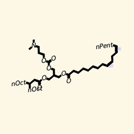 CCCCC/C=C\C/C=C\CCCCCCCC(=O)OCC(COC(=O)CC(CCCCCCCC)CCCCCCCC)COC(=O)OCCCN(C)C